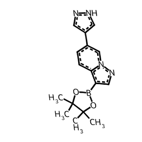 CC1(C)OB(c2cnn3cc(-c4cn[nH]c4)ccc23)OC1(C)C